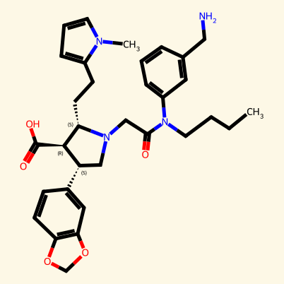 CCCCN(C(=O)CN1C[C@H](c2ccc3c(c2)OCO3)[C@@H](C(=O)O)[C@@H]1CCc1cccn1C)c1cccc(CN)c1